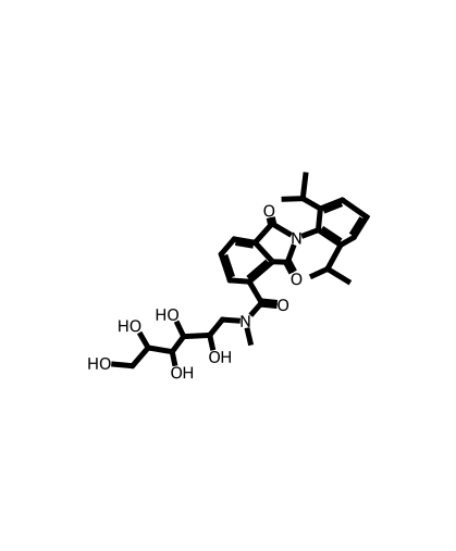 CC(C)c1cccc(C(C)C)c1N1C(=O)c2cccc(C(=O)N(C)CC(O)C(O)C(O)C(O)CO)c2C1=O